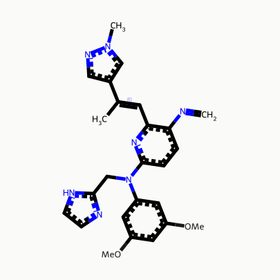 C=Nc1ccc(N(Cc2ncc[nH]2)c2cc(OC)cc(OC)c2)nc1/C=C(\C)c1cnn(C)c1